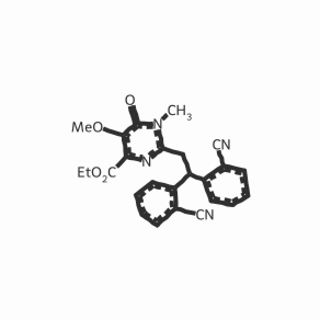 CCOC(=O)c1nc(CC(c2ccccc2C#N)c2ccccc2C#N)n(C)c(=O)c1OC